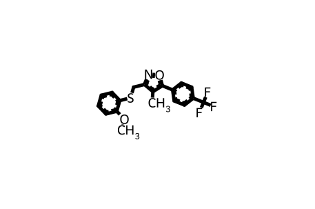 COc1ccccc1SCc1noc(-c2ccc(C(F)(F)F)cc2)c1C